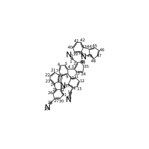 N#CC1=C(c2ccccc2-c2cccc(C#N)c2-n2c3ccccc3c3cc(C#N)ccc32)C=CC[C@H]1n1c2ccccc2c2ccccc21